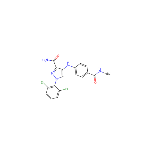 CC(C)(C)NC(=O)c1ccc(Nc2cn(-c3c(Cl)cccc3Cl)nc2C(N)=O)cc1